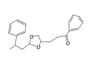 CC(CC1OCC(CCC(=O)c2ccccc2)O1)c1ccccc1